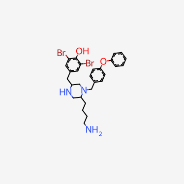 NCCCCC1CNC(Cc2cc(Br)c(O)c(Br)c2)CN1Cc1ccc(Oc2ccccc2)cc1